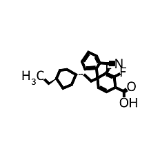 CC[C@H]1CC[C@H](CCC2(c3ccccc3C#N)C=CC(C(=O)O)C(F)=C2F)CC1